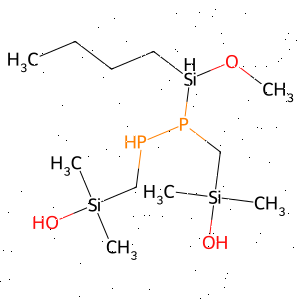 CCCC[SiH](OC)P(C[Si](C)(C)O)PC[Si](C)(C)O